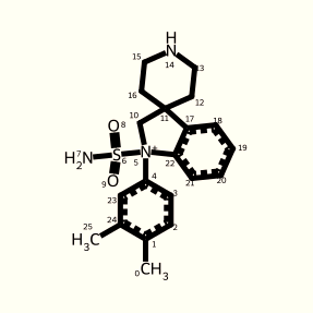 Cc1ccc([N+]2(S(N)(=O)=O)CC3(CCNCC3)c3ccccc32)cc1C